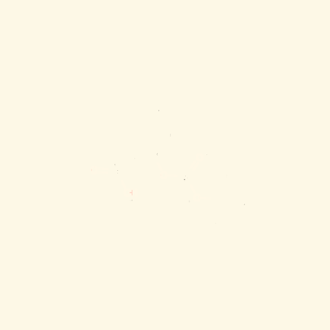 CCc1cccc(OC(=O)OC(C)(C)C)c1C(=O)O